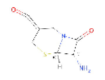 N[C@H]1C(=O)N2CC(=C=O)CS[C@H]12